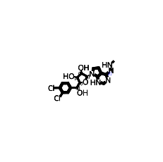 CN/N=c1/nc[nH]c2c1ccn2[C@@H]1O[C@H]([C@H](O)c2ccc(Cl)c(Cl)c2)[C@@H](O)[C@H]1O